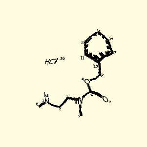 CNCCN(C)C(=O)OCc1ccccc1.Cl